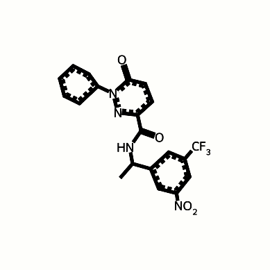 CC(NC(=O)c1ccc(=O)n(-c2ccccc2)n1)c1cc([N+](=O)[O-])cc(C(F)(F)F)c1